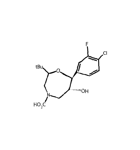 CC(C)(C)C1CN(C(=O)O)C[C@@H](O)[C@H](c2ccc(Cl)c(F)c2)O1